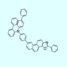 c1ccc(-c2ccc(N(c3ccc(-c4ccc5ccc6c(ccc7nc(-c8ccccc8)oc76)c5c4)cc3)c3ccccc3-c3ccccc3)cc2)cc1